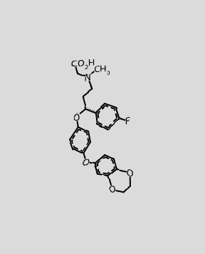 CN(CCC(Oc1ccc(Oc2ccc3c(c2)OCCO3)cc1)c1ccc(F)cc1)CC(=O)O